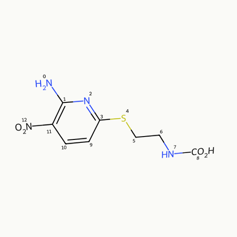 Nc1nc(SCCNC(=O)O)ccc1[N+](=O)[O-]